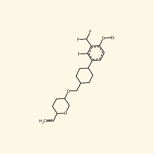 C=CC1CCC(OCC2CCC(c3ccc(OCC)c(C(F)F)c3F)CC2)CO1